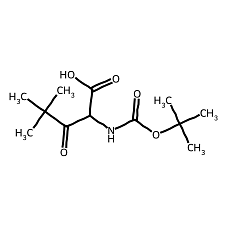 CC(C)(C)OC(=O)NC(C(=O)O)C(=O)C(C)(C)C